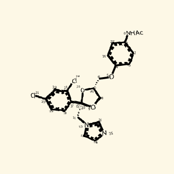 CC(=O)Nc1ccc(OC[C@@H]2CO[C@@](Cn3ccnc3)(c3ccc(Cl)cc3Cl)O2)cc1